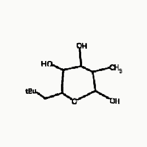 CC1C(O)OC(CC(C)(C)C)C(O)C1O